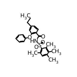 CCCc1ccc(C(=O)NS(=O)(=O)c2c(C)cc(C)c(C)c2C)c(Oc2ccccc2)c1